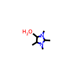 CC1C(C)N(C)C(C)N1C.O